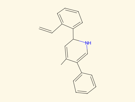 C=Cc1ccccc1C1C=C(C)C(c2ccccc2)=CN1